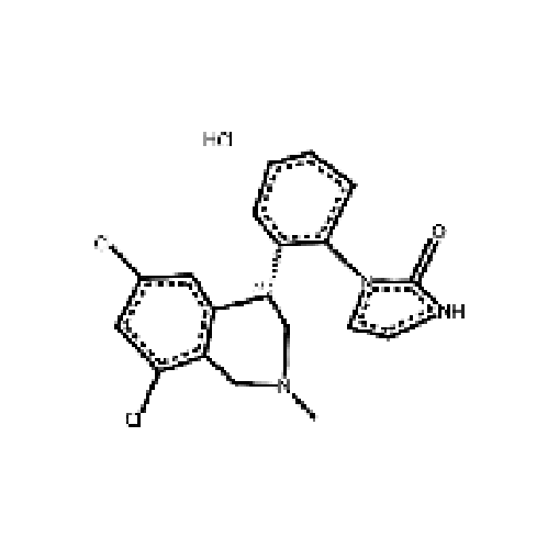 CN1Cc2c(Cl)cc(Cl)cc2[C@H](c2ccccc2-n2cc[nH]c2=O)C1.Cl